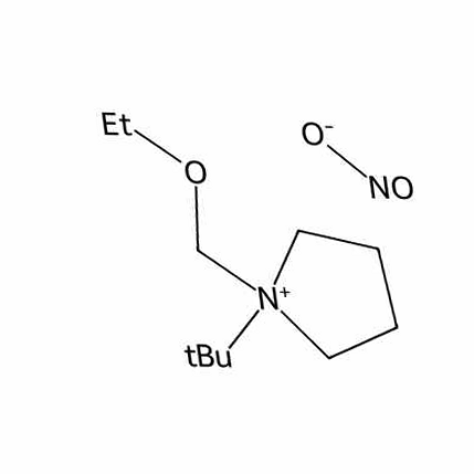 CCOC[N+]1(C(C)(C)C)CCCC1.O=N[O-]